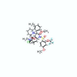 COc1ccc([S+]([O-])N2C(=O)C(c3cc(C)ccc3OC)(N3CCCC[C@H]3C(=O)N(C)C)c3cc(Cl)ccc32)c(OC(F)(F)F)c1